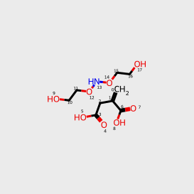 C=C(CC(=O)O)C(=O)O.OCCONOCCO